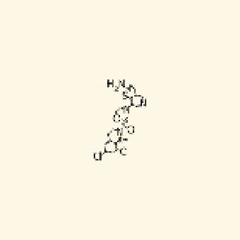 C[C@H]1c2c(Cl)cc(Cl)cc2CCN1C(=O)[C@H]1CN(c2cncc3nc(N)sc23)CCO1